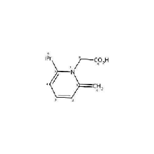 C=C1C=CC=C(C(C)C)N1CC(=O)O